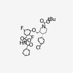 CC(C)(C)OC(=O)N1CC[C@H](c2ccc(Cl)cc2)[C@@H](COc2cc(F)cc(S(=O)(=O)NC(=O)c3ccccc3)c2F)C1